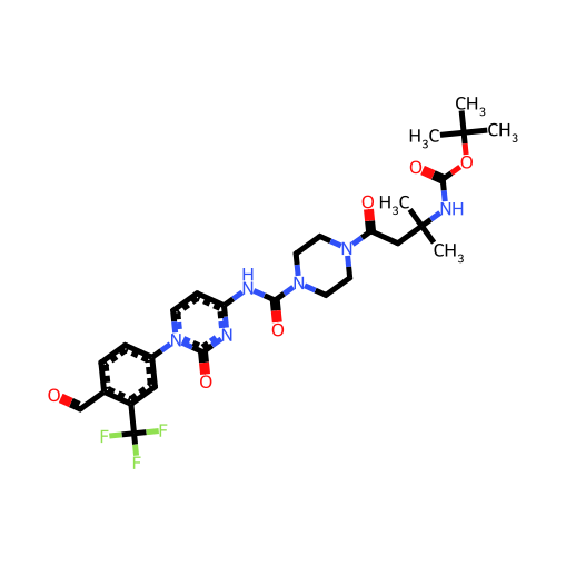 CC(C)(CC(=O)N1CCN(C(=O)Nc2ccn(-c3ccc(C=O)c(C(F)(F)F)c3)c(=O)n2)CC1)NC(=O)OC(C)(C)C